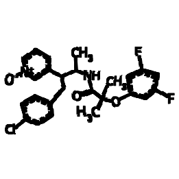 CC(NC(=O)C(C)(C)Oc1cc(F)cc(F)c1)C(Cc1ccc(Cl)cc1)c1ccc[n+]([O-])c1